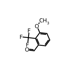 COc1cccc(C=O)c1C(F)(F)F